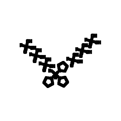 Br[PH](N1CCCC1)(N1CCCC1)N1CCCC1.O=P(O)(O)F.O=P(O)(O)F.O=P(O)(O)F.O=P(O)(O)F.O=P(O)(O)F.O=P(O)(O)F